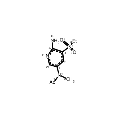 CCS(=O)(=O)c1cc(N(C)C(C)=O)cnc1N